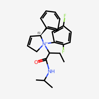 CCC(C(=O)NC(C)C)[N+]1(c2cc(F)ccc2F)CC=C[C@H]1c1ccccc1